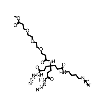 COC(=O)CCOCCOCCOCCC(=O)NC(CCC(=O)NCCCCN=[N+]=[N-])(CCC(=O)NN=[N+]=[N-])CCC(=O)NN=[N+]=[N-]